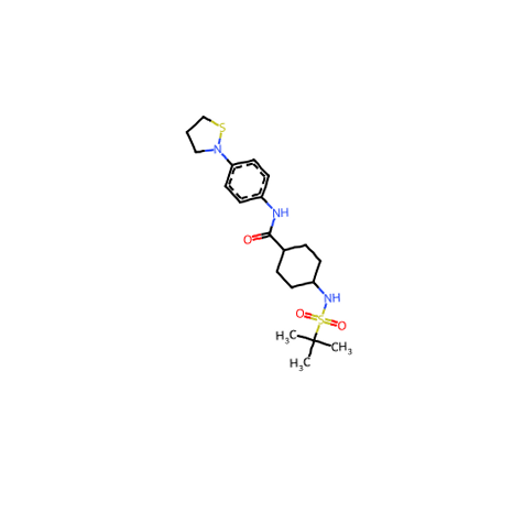 CC(C)(C)S(=O)(=O)NC1CCC(C(=O)Nc2ccc(N3CCCS3)cc2)CC1